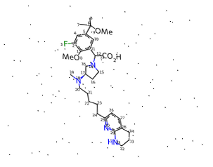 COc1c(F)cc(C(C)(C)OC)cc1C(C(=O)O)N1CC[C@@H](N(C)CCCCCc2ccc3c(n2)NCCC3)C1